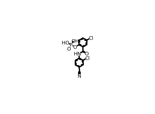 N#Cc1ccc(NC(=O)c2cc(Cl)ccc2OP(=O)(O)O)c(Cl)c1